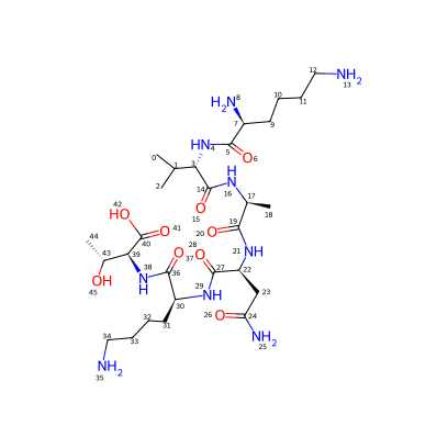 CC(C)[C@H](NC(=O)[C@@H](N)CCCCN)C(=O)N[C@@H](C)C(=O)N[C@@H](CC(N)=O)C(=O)N[C@@H](CCCCN)C(=O)N[C@H](C(=O)O)[C@@H](C)O